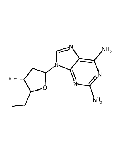 CCC1OC(n2cnc3c(N)nc(N)nc32)C[C@H]1C